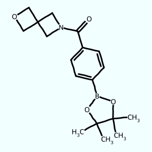 CC1(C)OB(c2ccc(C(=O)N3CC4(COC4)C3)cc2)OC1(C)C